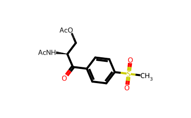 CC(=O)N[C@@H](COC(C)=O)C(=O)c1ccc(S(C)(=O)=O)cc1